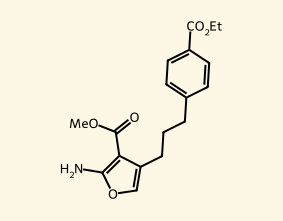 CCOC(=O)c1ccc(CCCc2coc(N)c2C(=O)OC)cc1